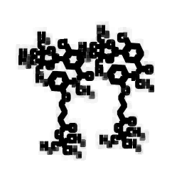 CN(C(=O)c1ccc(Cl)c(B2OC(C)(C)C(C)(C)O2)c1)c1ccccc1OCCCC(=O)OC(C)(C)C.CN(C(=O)c1ccc(Cl)c(B2OC(C)(C)C(C)(C)O2)c1)c1ccccc1OCCCC(=O)OC(C)(C)C